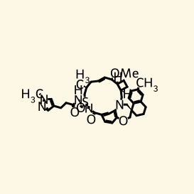 CO[C@H]1/C=C/C[C@H](C)C[S@@](=O)(NC(=O)CCc2cnn(C)c2)=NC(=O)c2ccc3c(c2)N(C[C@@H]2CC[C@H]21)C[C@@]1(CCCc2cc(C)ccc21)CO3